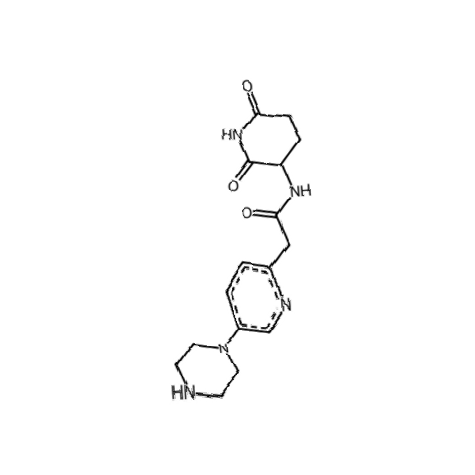 O=C1CCC(NC(=O)Cc2ccc(N3CCNCC3)cn2)C(=O)N1